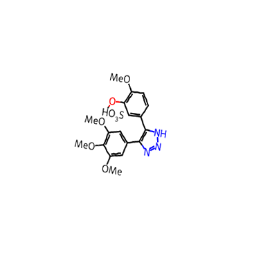 COc1ccc(-c2[nH]nnc2-c2cc(OC)c(OC)c(OC)c2)cc1OS(=O)(=O)O